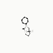 O=C1N(c2ccccc2)C[C@@H]2CCCN12